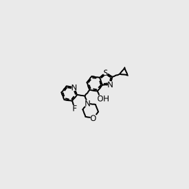 Oc1c(C(c2ncccc2F)N2CCOCC2)ccc2sc(C3CC3)nc12